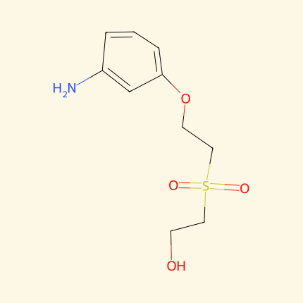 Nc1cccc(OCCS(=O)(=O)CCO)c1